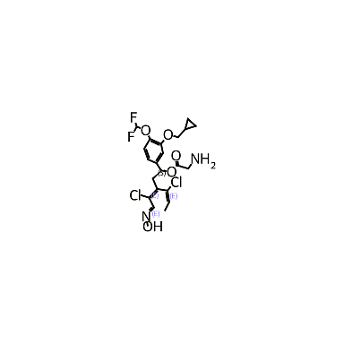 C\C=C(Cl)/C(C[C@H](OC(=O)CN)c1ccc(OC(F)F)c(OCC2CC2)c1)=C(Cl)\C=N\O